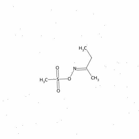 CCC(C)=NOS(C)(=O)=O